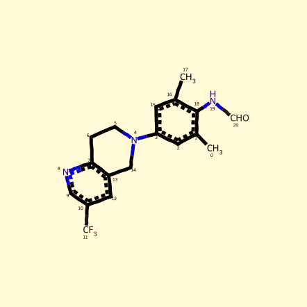 Cc1cc(N2CCc3ncc(C(F)(F)F)cc3C2)cc(C)c1NC=O